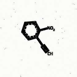 C#Cc1ccc[c]c1[N+](=O)[O-]